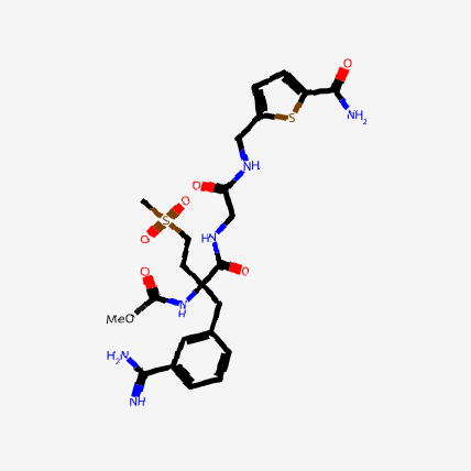 COC(=O)NC(CCS(C)(=O)=O)(Cc1cccc(C(=N)N)c1)C(=O)NCC(=O)NCc1ccc(C(N)=O)s1